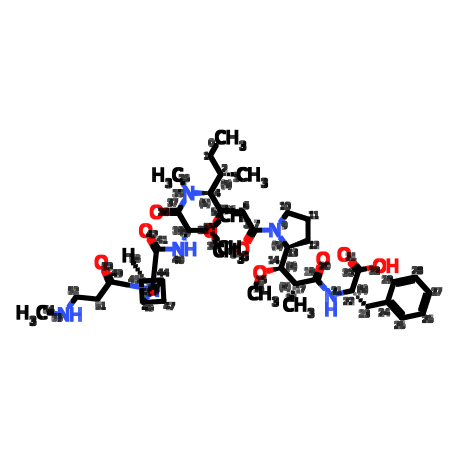 CC[C@H](C)[C@@H]([C@@H](CC(=O)N1CCC[C@H]1[C@H](OC)[C@@H](C)C(=O)N[C@@H](Cc1ccccc1)C(=O)O)OC)N(C)C(=O)[C@@H](NC(=O)[C@@H]1C2CC(C2)N1C(=O)CCNC)C(C)C